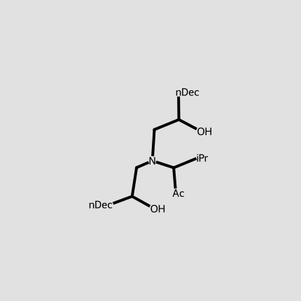 CCCCCCCCCCC(O)CN(CC(O)CCCCCCCCCC)C(C(C)=O)C(C)C